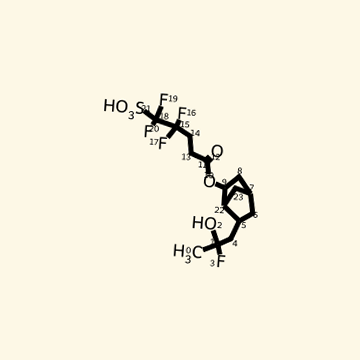 CC(O)(F)CC1CC2CC(OC(=O)CCC(F)(F)C(F)(F)S(=O)(=O)O)C1C2